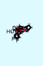 O=C(O)Nc1cccc(CC2C3CCC2CN(Cc2ccccc2)C3)c1Cc1ccc(F)c(F)c1